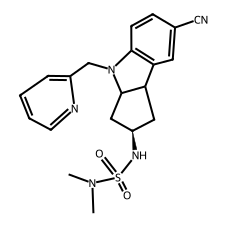 CN(C)S(=O)(=O)N[C@@H]1CC2c3cc(C#N)ccc3N(Cc3ccccn3)C2C1